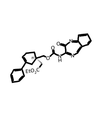 CCOC(=O)C[C@@]1(COC(=O)Nc2ncc3ccccc3nc2=O)CCC=C(c2ccccc2)C1